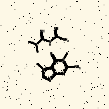 CN(C)C(=N)NC(=N)N.Cn1c(N)nc2ncn(C)c2c1=O